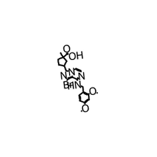 COc1ccc(CNc2nccn3c(C4CCC(C)(C(=O)O)C4)nc(Br)c23)c(OC)c1